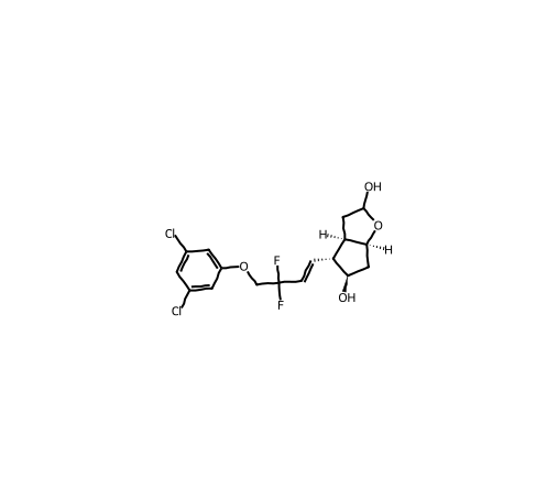 OC1C[C@@H]2[C@@H](/C=C/C(F)(F)COc3cc(Cl)cc(Cl)c3)[C@H](O)C[C@@H]2O1